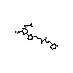 Nc1nc(NC2CC2)cc(-c2cccc(CCCNC(=O)/C=C/c3cccnc3)c2)n1